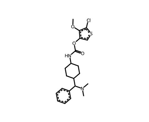 COc1c(OC(=O)NC2CCC(C(c3ccccc3)N(C)C)CC2)csc1Cl